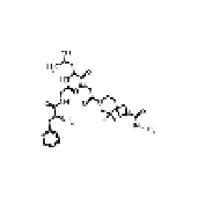 CNC(=O)N1CC2(CCN(C(=O)CNC(=O)C(CC(C)C)NC(=O)CNC(=O)C(N)Cc3ccccc3)CC2(F)F)C1